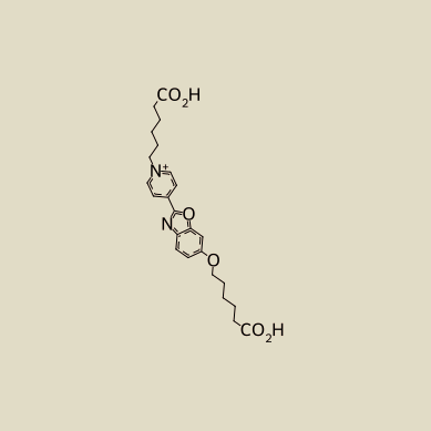 O=C(O)CCCCCOc1ccc2nc(-c3cc[n+](CCCCCC(=O)O)cc3)oc2c1